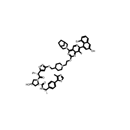 CCc1cccc2cc(O)cc(-c3ncc4c(N5CC6CCC(C6)C5)nc(OCCN5CCC(COc6cc([C@H](C(=O)N7C[C@H](O)C[C@H]7C(=O)N[C@@H](C)c7ccc(-c8scnc8C)cc7)C(C)C)on6)CC5)nc4c3F)c12